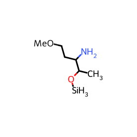 COCCC(N)C(C)O[SiH3]